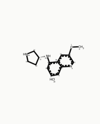 COc1cnc2cccc(N[C@@H]3CCNC3)c2c1.Cl